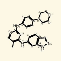 Cc1cnc(Nc2ccc(N3CCOCC3)cc2)nc1Nc1ccc2cn[nH]c2c1